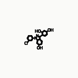 Oc1ccc(-c2nn(-c3cccc(Cl)c3)c3cc(O)ccc23)c(O)c1